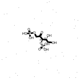 O=C(COP(=O)(O)O)[C@H](OP(=O)(O)O)[C@H](O)CO